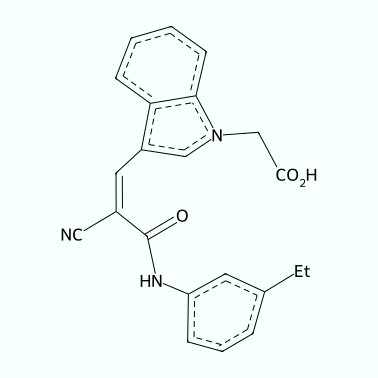 CCc1cccc(NC(=O)C(C#N)=Cc2cn(CC(=O)O)c3ccccc23)c1